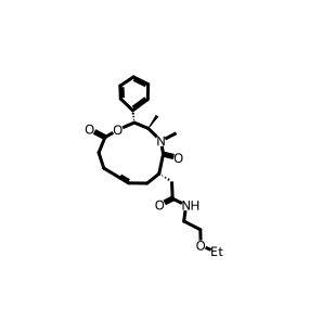 CCOCCNC(=O)C[C@@H]1C/C=C/CCC(=O)O[C@H](c2ccccc2)[C@@H](C)N(C)C1=O